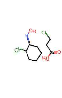 O=C(O)CCCl.ON=C1CCCCC1Cl